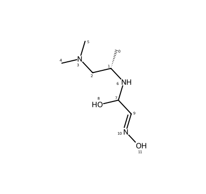 C[C@@H](CN(C)C)NC(O)/C=N/O